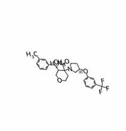 Cc1cccc(C(C)C2COCCC2(C(N)=O)N2CC[C@@H](Oc3cccc(C(F)(F)F)c3)C2)c1